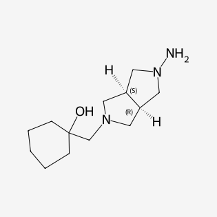 NN1C[C@@H]2CN(CC3(O)CCCCC3)C[C@@H]2C1